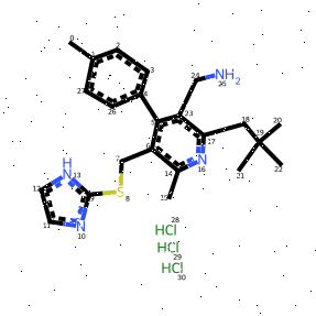 Cc1ccc(-c2c(CSc3ncc[nH]3)c(C)nc(CC(C)(C)C)c2CN)cc1.Cl.Cl.Cl